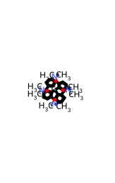 CN(C)Cc1cccc[c]1[Ti]([c]1ccccc1CN(C)C)([c]1ccccc1CN(C)C)[c]1ccccc1CN(C)C